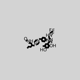 CCCC(CCNC=O)CN1CCN(Cc2ccc(-n3c(CNCC(F)(F)F)nnc3-c3cc(C)c(O)cc3O)cc2)CC1